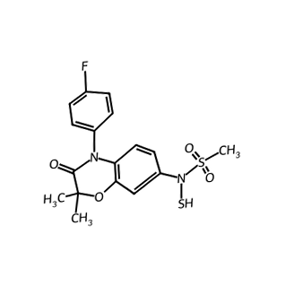 CC1(C)Oc2cc(N(S)S(C)(=O)=O)ccc2N(c2ccc(F)cc2)C1=O